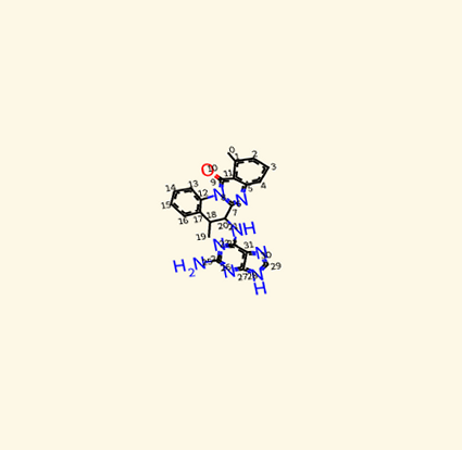 Cc1cccc2nc3n(c(=O)c12)-c1ccccc1C(C)C3Nc1nc(N)nc2[nH]cnc12